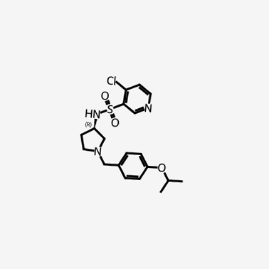 CC(C)Oc1ccc(CN2CC[C@@H](NS(=O)(=O)c3cnccc3Cl)C2)cc1